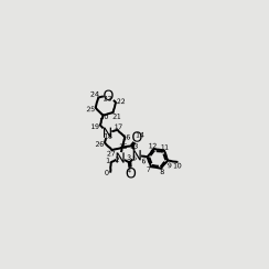 CCN1C(=O)N(c2ccc(C)cc2)C(=O)C12CCN(CC1CCOCC1)CC2